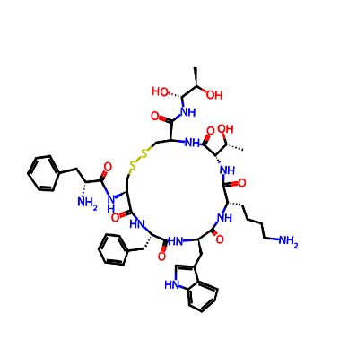 C[C@@H](O)[C@@H]1NC(=O)[C@H](CCCCN)NC(=O)[C@@H](Cc2c[nH]c3ccccc23)NC(=O)[C@H](Cc2ccccc2)NC(=O)[C@@H](NC(=O)[C@H](N)Cc2ccccc2)CSSC[C@@H](C(=O)N[C@H](O)[C@@H](C)O)NC1=O